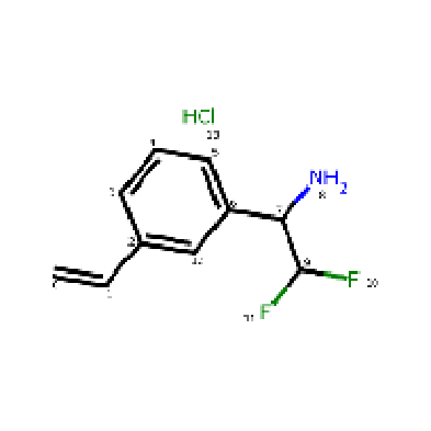 C=Cc1cccc(C(N)C(F)F)c1.Cl